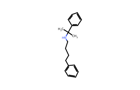 CC(C)(NCCCCc1ccccc1)c1ccccc1